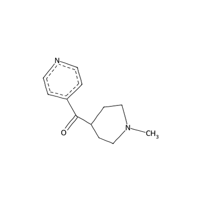 CN1CCC(C(=O)c2ccncc2)CC1